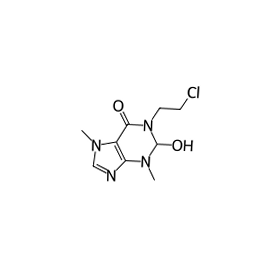 CN1c2ncn(C)c2C(=O)N(CCCl)C1O